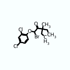 CCC(C)(CC)C(=O)C(Br)Oc1ccc(Cl)cc1Cl